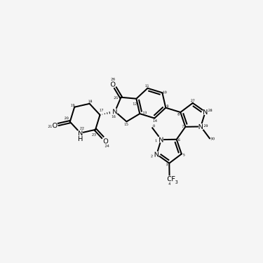 Cn1nc(C(F)(F)F)cc1-c1c(-c2ccc3c(c2)CN([C@H]2CCC(=O)NC2=O)C3=O)cnn1C